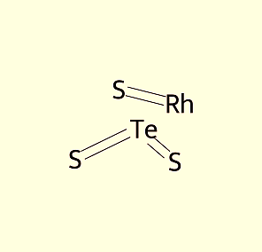 S=[Te]=S.[S]=[Rh]